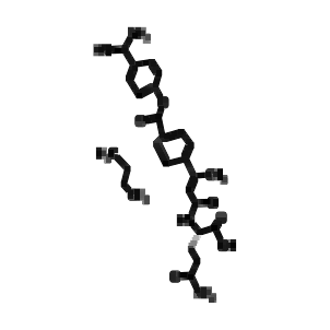 C/C(=C\C(=O)N[C@@H](CCC(N)=O)C(=O)O)c1ccc(C(=O)Oc2ccc(C(=N)N)cc2)cc1.CCCC